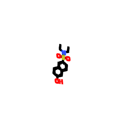 CCN(CC)S(=O)(=O)c1ccc2cc(O)ccc2c1